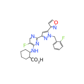 O=C(O)[C@H]1CCCC[C@H]1Nc1nc(-c2cc(-c3ccon3)n(Cc3ccccc3F)n2)ncc1F